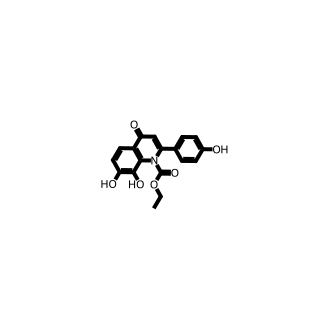 CCOC(=O)n1c(-c2ccc(O)cc2)cc(=O)c2ccc(O)c(O)c21